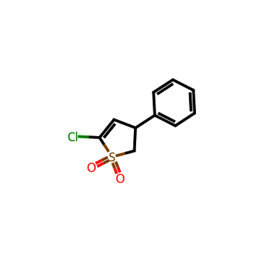 O=S1(=O)CC(c2ccccc2)C=C1Cl